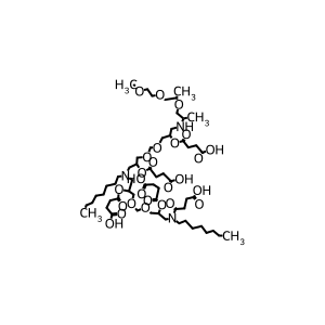 CCCCCCCCN(CC(COCOCC(CNC(C)COC(C)COCCOC)OC(=O)CCC(=O)O)OC(=O)CCC(=O)O)CC(COCOCC(CN(CCCCCCCC)C(=O)CCC(=O)O)OC(=O)CCC(=O)O)OC(=O)CCC(=O)O